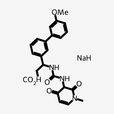 COc1cccc(-c2cccc(C(CC(=O)O)NC(=O)NC3C(=O)C=CN(C)C3=O)c2)c1.[NaH]